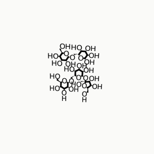 OC[C@H]1O[C@H](OC[C@H]2O[C@@H](O)[C@H](O)[C@@H](O)[C@@H]2O)[C@H](O)[C@@H](O)[C@H]1O.OC[C@H]1O[C@H](OC[C@H]2O[C@H](O[C@]3(CO)O[C@H](CO)[C@@H](O)[C@@H]3O)[C@H](O)[C@@H](O)[C@@H]2O)[C@H](O)[C@@H](O)[C@H]1O